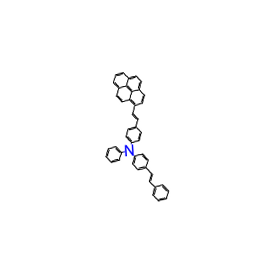 C(=Cc1ccc(N(c2ccccc2)c2ccc(C=Cc3ccc4ccc5cccc6ccc3c4c56)cc2)cc1)c1ccccc1